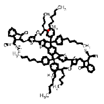 [C-]#[N+]C([N+]#[C-])=C1/C(=C/c2cc(OCC(CC)CCCC)c(-c3cc4c(s3)-c3cc5c(cc3C4(c3ccc(CCCCCC)cc3)c3ccc(CCCCCC)cc3)-c3sc(-c4sc(/C=C6\C(=O)c7ccccc7C6=C(C#N)C#N)cc4OCC(CC)CCCC)cc3C5(c3ccc(CCCCCC)cc3)c3ccc(CCCCCC)cc3)s2)C(=O)c2ccccc21